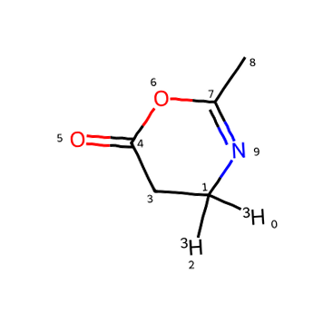 [3H]C1([3H])CC(=O)OC(C)=N1